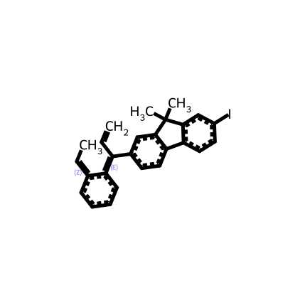 C=C/C(c1ccc2c(c1)C(C)(C)c1cc(I)ccc1-2)=c1/cccc/c1=C/C